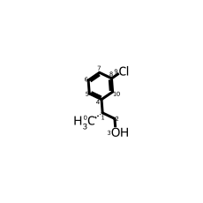 C[C@@H](CO)c1cccc(Cl)c1